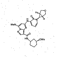 CNc1cc(Nc2cccn([C@H]3[C@@H]4COC[C@@H]43)c2=O)nc2c(C(=O)NC3CCC[C@H](OC)C3)cnn12